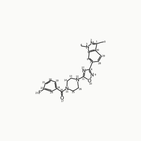 Cc1nn(C)c2cc(-c3noc(N4CCN(C(=O)c5cccc(F)c5)CC4)n3)ccc12